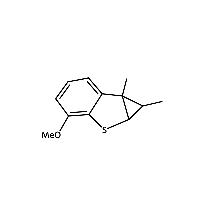 COc1cccc2c1SC1C(C)C21C